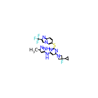 Cc1cc(Nc2cc(N3CC(F)(C4CC4)C3)nc(Sc3ccc4nc(C(F)(F)F)cn4c3)n2)[nH]n1